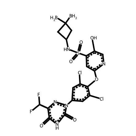 BC1(B)CC(NS(=O)(=O)c2cc(Oc3c(Cl)cc(-n4nc(C(F)F)c(=O)[nH]c4=O)cc3Cl)ncc2O)C1